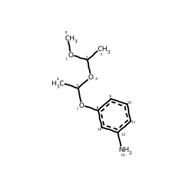 COC(C)OC(C)Oc1cccc(N)c1